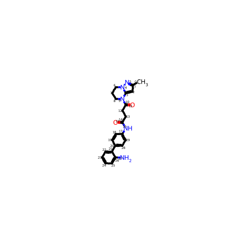 Cc1cc2n(n1)CCCN2C(=O)CCC(=O)Nc1ccc(-c2ccccc2N)cc1